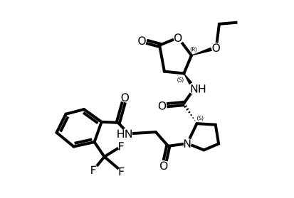 CCO[C@@H]1OC(=O)C[C@@H]1NC(=O)[C@@H]1CCCN1C(=O)CNC(=O)c1ccccc1C(F)(F)F